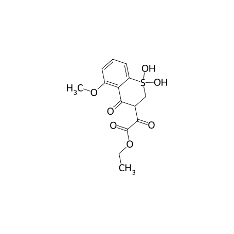 CCOC(=O)C(=O)C1CS(O)(O)c2cccc(OC)c2C1=O